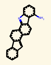 Nc1cccc2c1-c1ccc3c4c(ccc3c1=N2)-c1ccccc1C=4